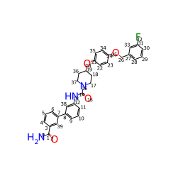 NC(=O)c1cccc(-c2cccc(NC(=O)N3CCC(Oc4ccc(OCc5cccc(F)c5)cc4)CC3)c2)c1